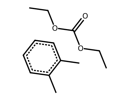 CCOC(=O)OCC.Cc1ccccc1C